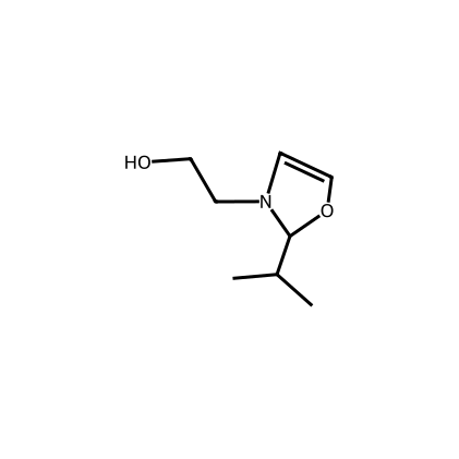 CC(C)C1OC=CN1CCO